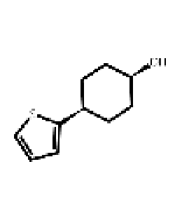 O[C@H]1CC[C@@H](c2cccs2)CC1